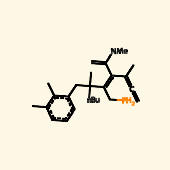 C=C=C(C)/C(C(=C)NC)=C(\CP)C(C)(CCCC)Cc1cccc(C)c1C